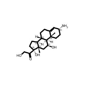 C[C@]12CC[C@@H](N)C=C1CC[C@@H]1[C@@H]2[C@@H](O)C[C@@]2(C)[C@H]1CC[C@]2(O)C(=O)CO